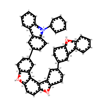 c1ccc(-n2c3ccccc3c3cc(-c4ccc5oc6ccc7oc8ccc(-c9ccc%10oc%11ccccc%11c%10c9)cc8c7c6c5c4)ccc32)cc1